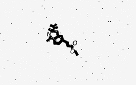 CCOC(=O)/C=C/c1ccc2c(c1)CC(C)(C(C)(C)C)N=C2C